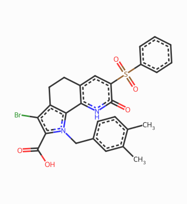 Cc1ccc(Cn2c(C(=O)O)c(Br)c3c2-c2[nH]c(=O)c(S(=O)(=O)c4ccccc4)cc2CC3)cc1C